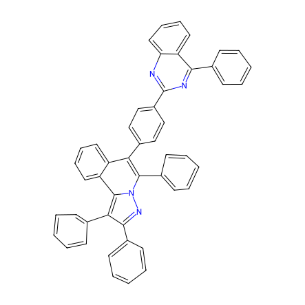 c1ccc(-c2nn3c(-c4ccccc4)c(-c4ccc(-c5nc(-c6ccccc6)c6ccccc6n5)cc4)c4ccccc4c3c2-c2ccccc2)cc1